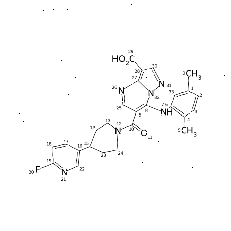 Cc1ccc(C)c(Nc2c(C(=O)N3CCC(c4ccc(F)nc4)CC3)cnc3c(C(=O)O)cnn23)c1